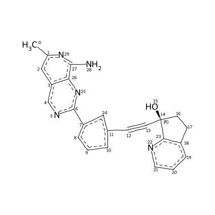 Cc1cc2cnc(-c3cccc(C#C[C@]4(O)CCc5cccnc54)c3)nc2c(N)n1